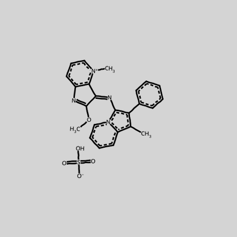 COC1=Nc2ccc[n+](C)c2C1=Nc1c(-c2ccccc2)c(C)c2ccccn12.O=S(=O)([O-])O